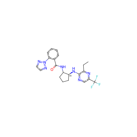 CCc1nc(C(F)(F)F)cnc1N[C@H]1CCCC1NC(=O)c1ccccc1-n1nccn1